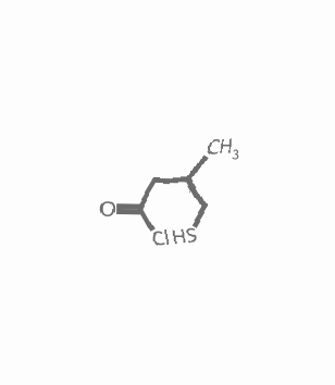 CC(CS)CC(=O)Cl